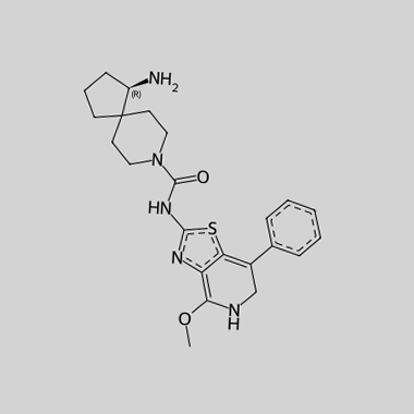 COC1=c2nc(NC(=O)N3CCC4(CCC[C@H]4N)CC3)sc2=C(c2ccccc2)CN1